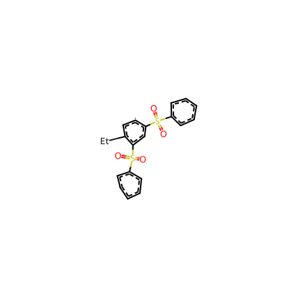 CCc1c[c]c(S(=O)(=O)c2ccccc2)cc1S(=O)(=O)c1ccccc1